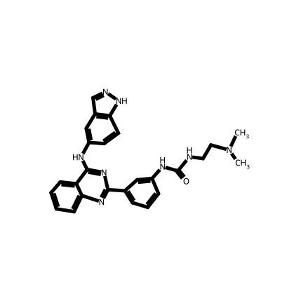 CN(C)CCNC(=O)Nc1cccc(-c2nc(Nc3ccc4[nH]ncc4c3)c3ccccc3n2)c1